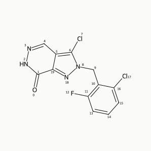 O=c1[nH]ncc2c(Cl)n(Cc3c(F)cccc3Cl)nc12